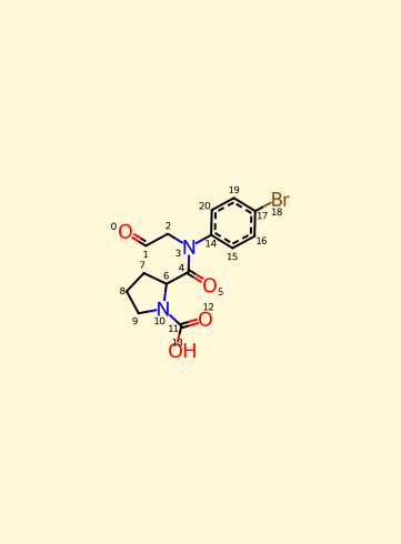 O=CCN(C(=O)C1CCCN1C(=O)O)c1ccc(Br)cc1